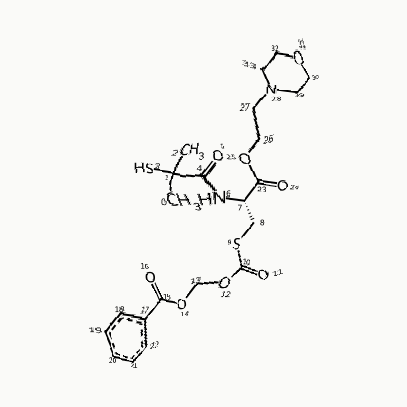 CC(C)(S)C(=O)N[C@@H](CSC(=O)OCOC(=O)c1ccccc1)C(=O)OCCN1CCOCC1